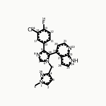 Cn1ccc(Cn2cnc(-c3ccc(F)c(Cl)c3)c2-c2ccnc3[nH]ccc23)n1